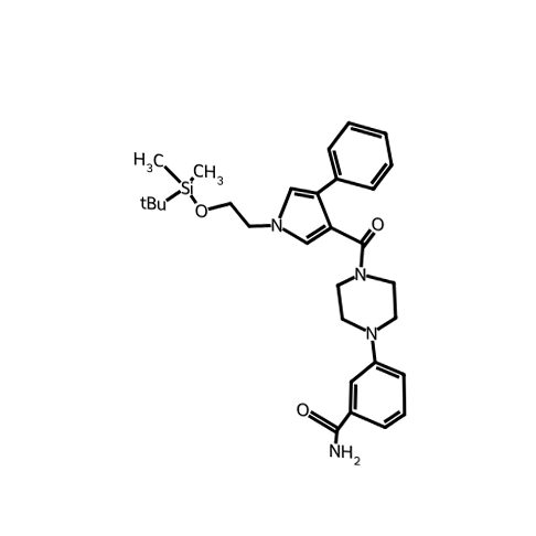 CC(C)(C)[Si](C)(C)OCCn1cc(C(=O)N2CCN(c3cccc(C(N)=O)c3)CC2)c(-c2ccccc2)c1